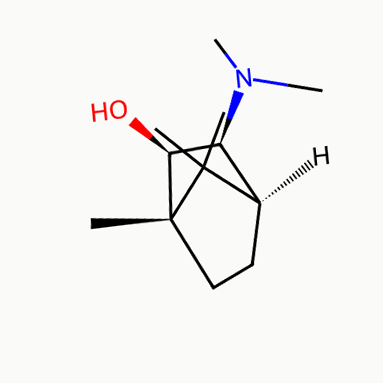 CN(C)[C@H]1[C@H]2CC[C@](C)([C@H]1O)C2(C)C